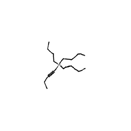 CCC#[C][Sn]([CH2]CCC)([CH2]CCC)[CH2]CCC